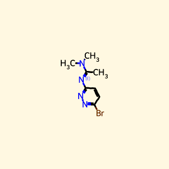 C/C(=N\c1ccc(Br)nn1)N(C)C